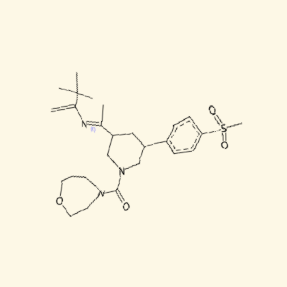 C=C(/N=C(\C)C1CC(c2ccc(S(C)(=O)=O)cc2)CN(C(=O)N2CCOCC2)C1)C(C)(C)C